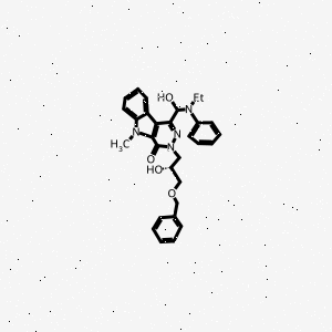 CCN(c1ccccc1)C(O)c1nn(C[C@@H](O)COCc2ccccc2)c(=O)c2c1c1ccccc1n2C